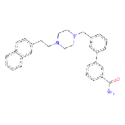 NC(=O)c1cccc(-c2cccc(CN3CCN(CCc4ccc5ccccc5c4)CC3)c2)c1